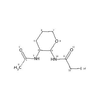 CC(=O)NC1CCCOC1NC(=O)CI